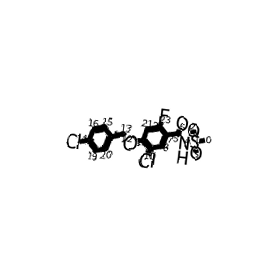 CS(=O)(=O)NC(=O)c1cc(Cl)c(OCc2ccc(Cl)cc2)cc1F